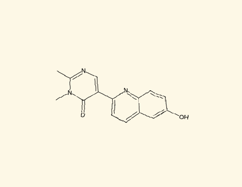 Cc1ncc(-c2ccc3cc(O)ccc3n2)c(=O)n1C